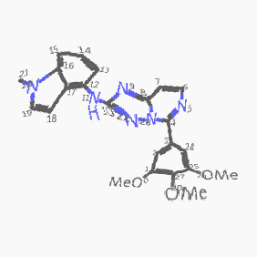 COc1cc(-c2nccc3nc(Nc4cccc5c4ccn5C)nn23)cc(OC)c1OC